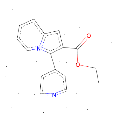 CCOC(=O)c1cc2ccccn2c1-c1ccncc1